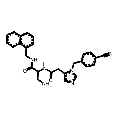 N#Cc1ccc(Cn2cncc2CC(=O)NC(CN)C(=O)NCc2cccc3ccccc23)cc1